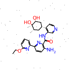 CCOc1cccc(-c2ccc(N)c(C(=O)Nc3cnccc3[C@H]3C[C@@H](O)[C@](C)(O)[C@@H](C)C3)n2)n1